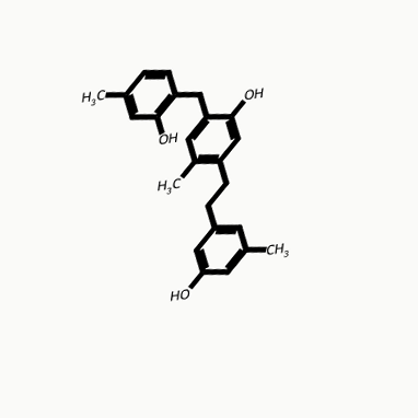 Cc1cc(O)cc(CCc2cc(O)c(Cc3ccc(C)cc3O)cc2C)c1